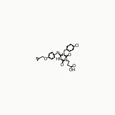 O=C(O)CCn1c(=O)[nH]/c(=N\c2ccc(OCC3CC3)cc2)n(Cc2ccc(Cl)cc2)c1=O